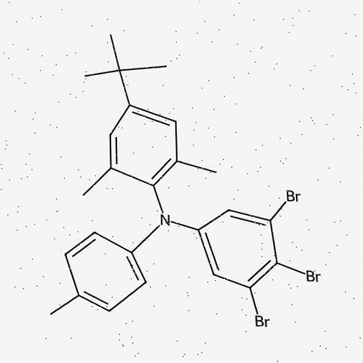 Cc1ccc(N(c2cc(Br)c(Br)c(Br)c2)c2c(C)cc(C(C)(C)C)cc2C)cc1